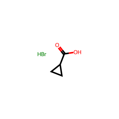 Br.O=C(O)C1CC1